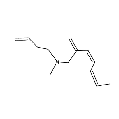 C=CCCN(C)CC(=C)/C=C\C=C/C